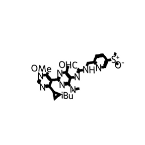 CC[C@@H](C)N(C)c1nc(-c2c(OC)ncnc2C2CC2)nc(C)c1/N=C(\C=O)NCc1ccc([S+](C)[O-])cn1